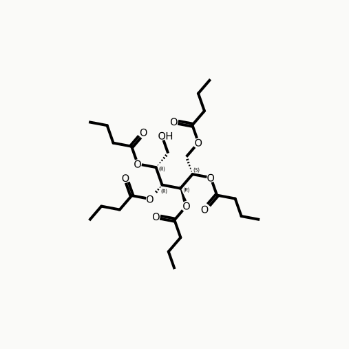 CCCC(=O)OC[C@H](OC(=O)CCC)[C@@H](OC(=O)CCC)[C@H](OC(=O)CCC)[C@@H](CO)OC(=O)CCC